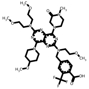 COCCN(Cc1ccc(C(=O)O)c(C(F)(F)F)c1)c1nc(N2CCN(C)C(=O)C2)c2nc(N(CCOC)CCOC)nc(N3CCC(OC)CC3)c2n1